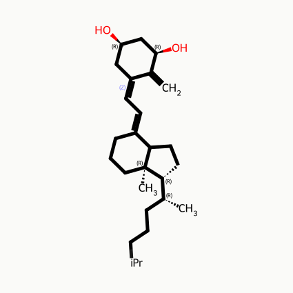 C=C1/C(=C\C=C2CCC[C@@]3(C)C2CC[C@@H]3[C@H](C)CCCC(C)C)C[C@@H](O)C[C@H]1O